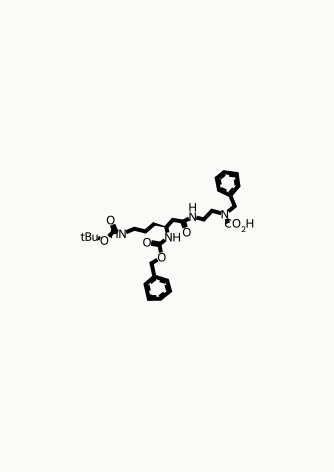 CC(C)(C)OC(=O)NCCC[C@@H](CC(=O)NCCN(Cc1ccccc1)C(=O)O)NC(=O)OCc1ccccc1